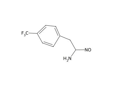 NC(Cc1ccc(C(F)(F)F)cc1)N=O